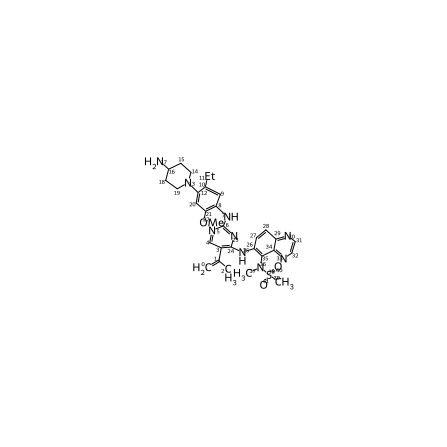 C=C(C)c1cnc(Nc2cc(CC)c(N3CCC(N)CC3)cc2OC)nc1Nc1ccc2nccnc2c1N(C)S(C)(=O)=O